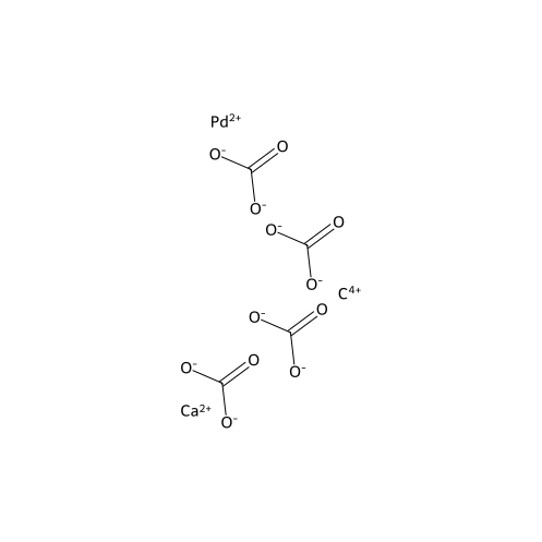 O=C([O-])[O-].O=C([O-])[O-].O=C([O-])[O-].O=C([O-])[O-].[C+4].[Ca+2].[Pd+2]